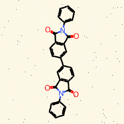 O=C1c2ccc(-c3ccc4c(c3)C(=O)N(c3ccccc3)C4=O)cc2C(=O)N1c1ccccc1